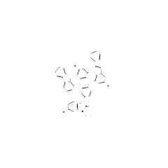 CC(C)(C)c1cc2c3c(c1)-n1c4c(cc(C(C)(C)C)cc4c4oc5ccccc5c41)B3c1ccc(N3c4ccc(C(C)(C)C)cc4C4(C)CCCCC34C)cc1N2c1cccc2c1oc1ccccc12